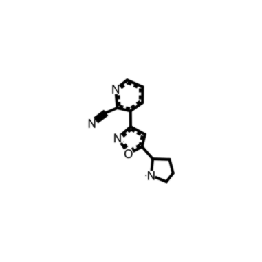 N#Cc1ncccc1-c1cc(C2CCC[N]2)on1